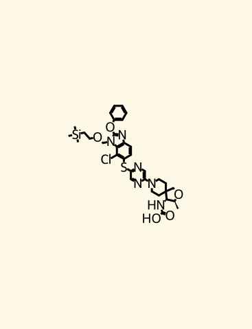 C[C@@H]1OCC2(CCN(c3cnc(Sc4ccc5nc(Oc6ccccc6)n(COCC[Si](C)(C)C)c5c4Cl)cn3)CC2)[C@@H]1NC(=O)O